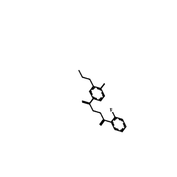 C=C(CCC(=C)c1ccccc1F)c1ccc(C)c(CCC)c1